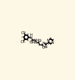 O=C(Cc1nc(-c2cnccn2)no1)NNC(=O)Nc1cc(Cl)cc(Cl)c1